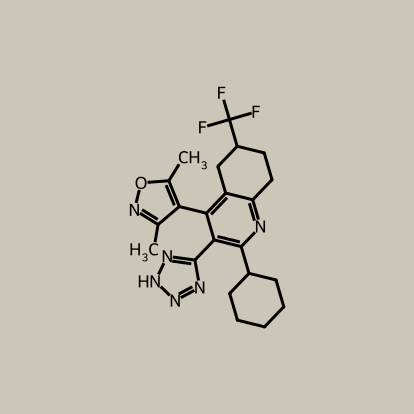 Cc1noc(C)c1-c1c2c(nc(C3CCCCC3)c1-c1nn[nH]n1)CCC(C(F)(F)F)C2